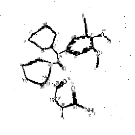 COc1cc([C@@H](C(=O)N2CCCC[C@H]2C(=O)N[C@H](C)C(N)=O)C2CCCCC2)cc(C)c1OC